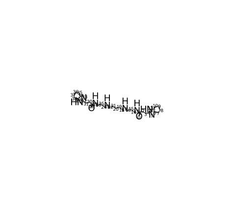 O=C(CCc1nc2ccccc2[nH]1)NCCCNCCCCCNCCCNC(=O)CCc1nc2ccccc2[nH]1